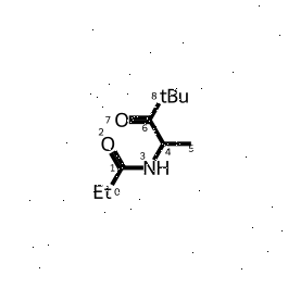 CCC(=O)NC(C)C(=O)C(C)(C)C